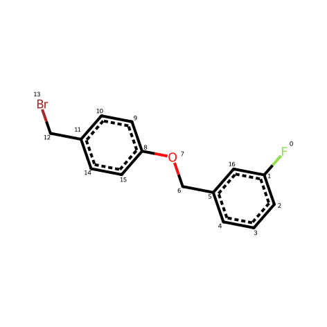 Fc1cccc(COc2ccc(CBr)cc2)c1